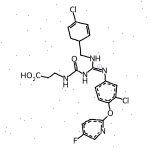 O=C(O)CCNC(=O)N/C(=N\c1ccc(Oc2ccc(F)cn2)c(Cl)c1)NCC1C=CC(Cl)=CC1